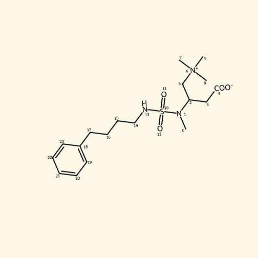 CN(C(CC(=O)[O-])C[N+](C)(C)C)S(=O)(=O)NCCCCc1ccccc1